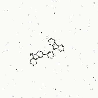 c1cc(-c2ccc3[nH]c4ccccc4c3c2)cc(-n2c3ccccc3c3ccccc32)c1